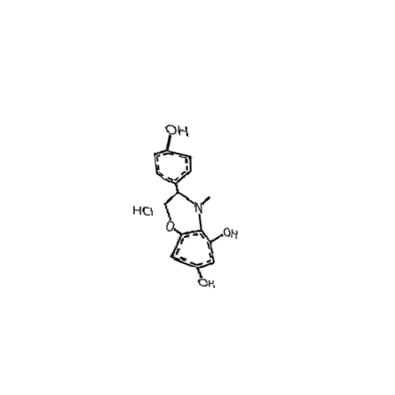 CN1c2c(O)cc(O)cc2OCC1c1ccc(O)cc1.Cl